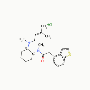 CC(C)=CCN(C)[C@@H]1CCCC[C@H]1N(C)C(=O)Cc1cccc2sccc12.Cl